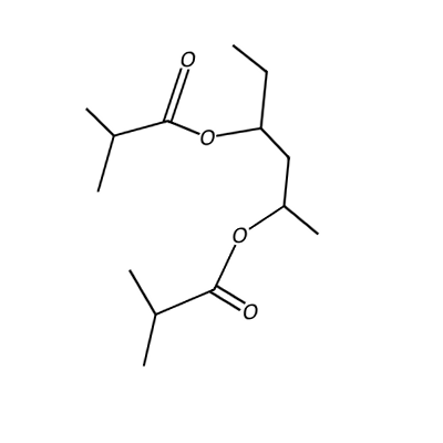 CCC(CC(C)OC(=O)C(C)C)OC(=O)C(C)C